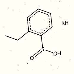 CCc1ccccc1S(=O)O.[KH]